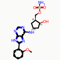 COc1ccccc1-c1nc2c(N[C@@H]3C[C@@H](COS(N)(=O)=O)[C@@H](O)C3)ncnc2[nH]1